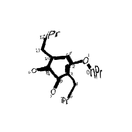 CCCOC1=C(CC(C)C)C(=O)C(=O)C(CC(C)C)=C1